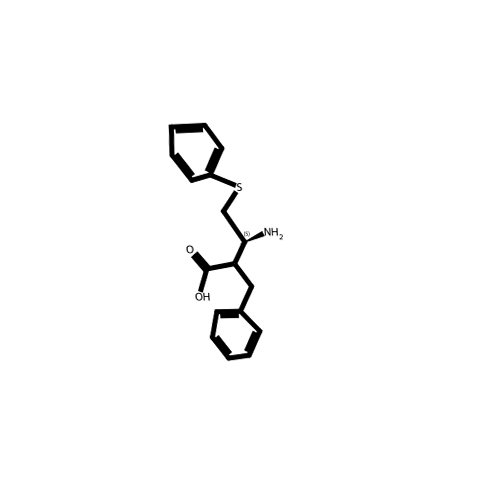 N[C@H](CSc1ccccc1)C(Cc1ccccc1)C(=O)O